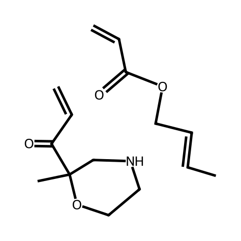 C=CC(=O)C1(C)CNCCO1.C=CC(=O)OCC=CC